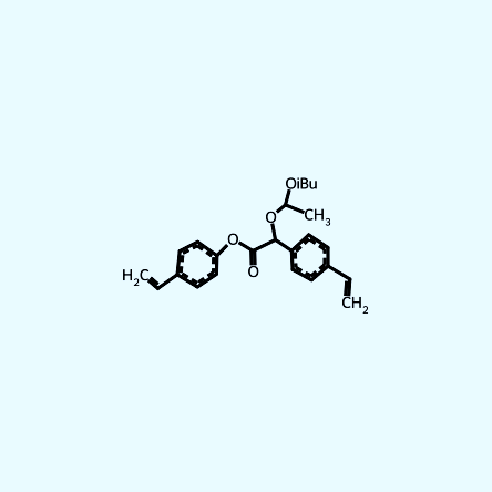 C=Cc1ccc(OC(=O)C(OC(C)OCC(C)C)c2ccc(C=C)cc2)cc1